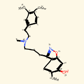 COc1cc2c(CCCN(C)CCc3ccc(OC)c(OC)c3)noc2cc1O